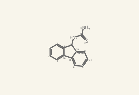 NC(=S)NC1c2ccccc2-c2ccccc21